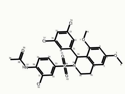 COc1cc2c(c(OC)c1)C(c1cc(Cl)cc(Cl)c1)N(S(=O)(=O)c1ccc(NC(C)=O)c(Cl)c1)CC2